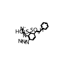 [N-]=[N+]=NC1=C(N=[N+]=[N-])C(S(=O)(=O)O)(S(=O)(=O)O)C(C=Cc2ccccc2)C=C1